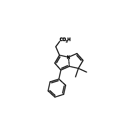 CC1(C)C=Cn2c(CC(=O)O)cc(-c3ccccc3)c21